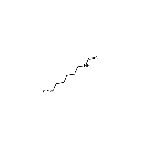 CCCCCCCCCCN[C]=S